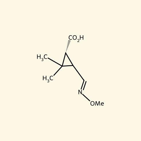 CON=CC1[C@@H](C(=O)O)C1(C)C